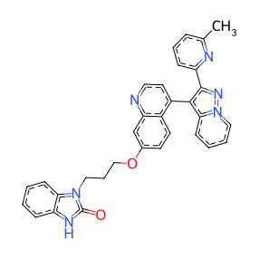 Cc1cccc(-c2nn3ccccc3c2-c2ccnc3cc(OCCCn4c(=O)[nH]c5ccccc54)ccc23)n1